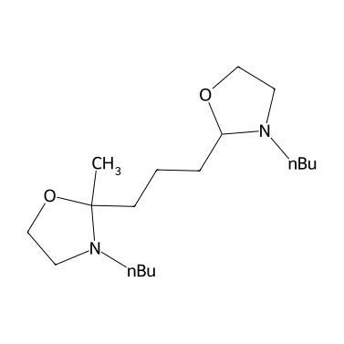 CCCCN1CCOC1CCCC1(C)OCCN1CCCC